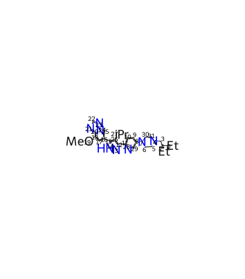 CCC(CC)CN1CCN(c2ccc(-c3n[nH]c(-c4cc(OC)c5ncnn5c4)c3C(C)C)nc2)CC1